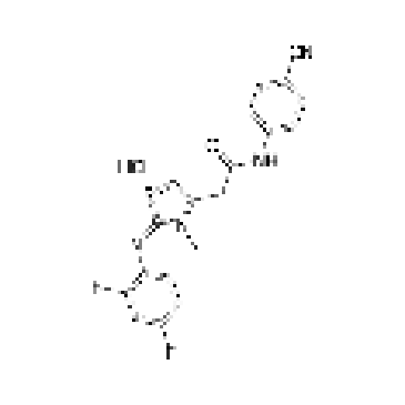 Cl.Cn1c(CC(=O)Nc2ccc(C#N)cc2)cs/c1=N/c1ccc(F)cc1F